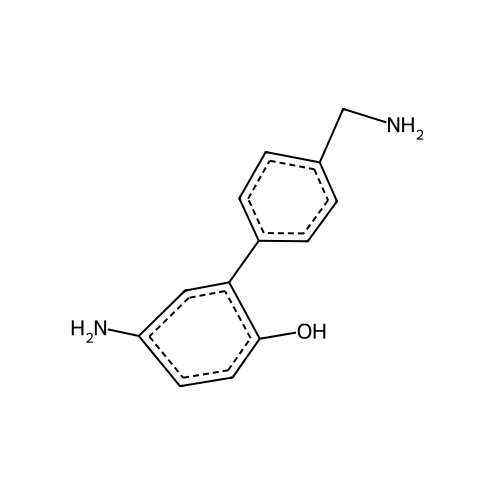 NCc1ccc(-c2cc(N)ccc2O)cc1